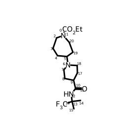 CCOC(=O)N1CCCC(N2CCC(C(=O)NC(C)(C)C(F)(F)F)CC2)CC1